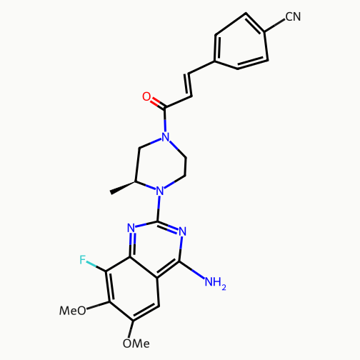 COc1cc2c(N)nc(N3CCN(C(=O)C=Cc4ccc(C#N)cc4)C[C@@H]3C)nc2c(F)c1OC